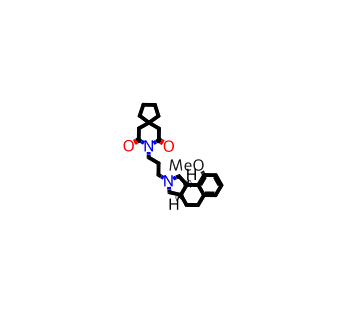 COc1cccc2c1[C@@H]1CN(CCCN3C(=O)CC4(CCCC4)CC3=O)C[C@@H]1CC2